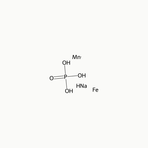 O=P(O)(O)O.[Fe].[Mn].[NaH]